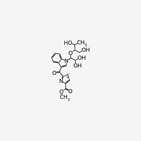 COC(=O)c1csc(C(=O)c2cn(C(OC(CO)C(C)O)C(O)O)c3ccccc23)n1